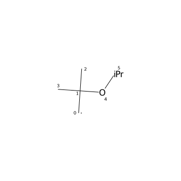 [CH2]C(C)(C)OC(C)C